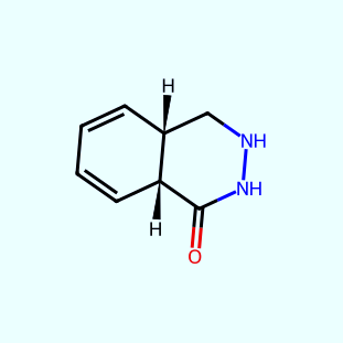 O=C1NNC[C@H]2C=CC=C[C@@H]12